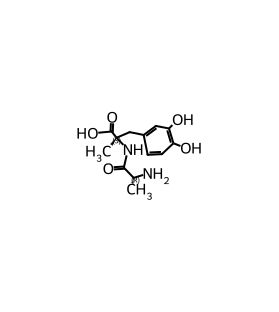 C[C@@H](N)C(=O)N[C@@](C)(Cc1ccc(O)c(O)c1)C(=O)O